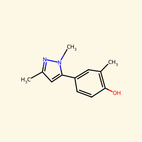 Cc1cc(-c2ccc(O)c(C)c2)n(C)n1